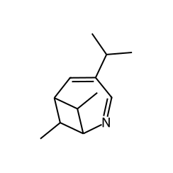 CC(C)C1=CC2C(C)C(N=C1)C2C